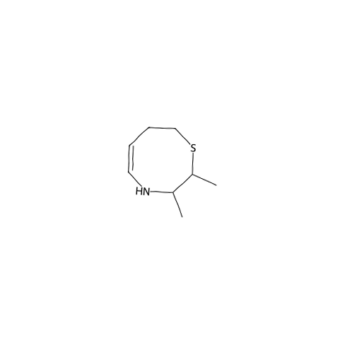 CC1N/C=C\CCSC1C